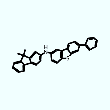 CC1(C)c2ccccc2-c2ccc(Nc3ccc4sc5cc(-c6ccccc6)ccc5c4c3)cc21